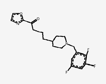 O=C(CCCC1CCN(Cc2cc(F)cc(F)c2F)CC1)c1ncco1